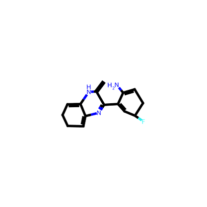 C=C1NC2=CCCC=C2N=C1C1=CC(F)CC=C1N